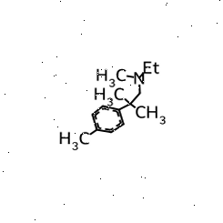 CCN(C)CC(C)(C)c1ccc(C)cc1